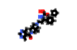 C1CCCC1.Cc1ncnc(C)c1C(=O)N1CC2CN(CCC(NC(=O)O)c3ccccc3)C[C@H]2C1